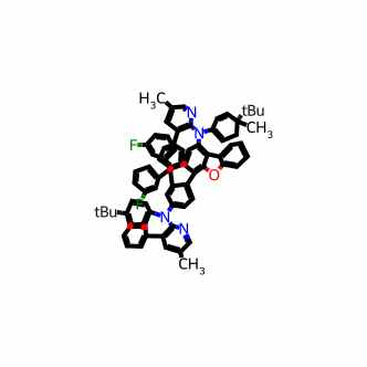 Cc1cnc(N(C2=CCC(C)(C(C)(C)C)C=C2)c2cc3c(c4oc5ccccc5c24)-c2ccc(N(c4ccc(C(C)(C)C)cc4)c4ncc(C)cc4-c4ccccc4)cc2C3(c2cccc(F)c2)c2cccc(F)c2)c(-c2ccccc2)c1